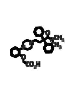 CN(C)C(=O)C(CCN1CCN(c2ccccc2OCC(=O)O)CC1)(c1ccccc1)c1ccccc1